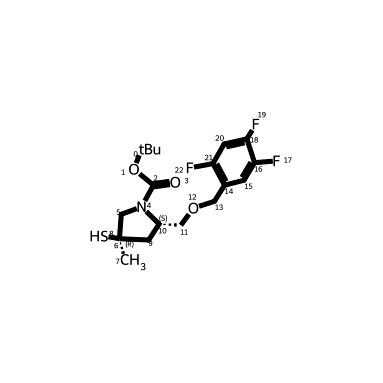 CC(C)(C)OC(=O)N1C[C@](C)(S)C[C@H]1COCc1cc(F)c(F)cc1F